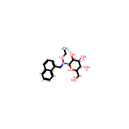 CCON(Cc1cccc2ccccc12)[C@@H]1OC(CO)[C@@H](O)[C@H](O)C1O